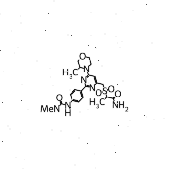 CNC(=O)Nc1ccc(-c2nc(CS(=O)(=O)C(C)C(N)=O)cc(N3CCOC[C@@H]3C)n2)cc1